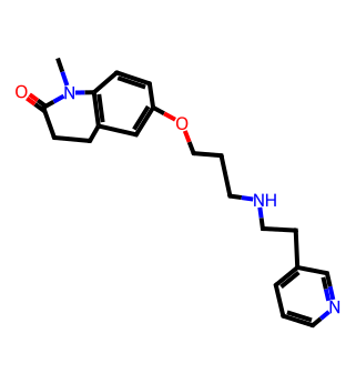 CN1C(=O)CCc2cc(OCCCNCCc3cccnc3)ccc21